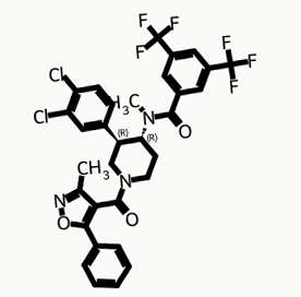 Cc1noc(-c2ccccc2)c1C(=O)N1CC[C@@H](N(C)C(=O)c2cc(C(F)(F)F)cc(C(F)(F)F)c2)[C@H](c2ccc(Cl)c(Cl)c2)C1